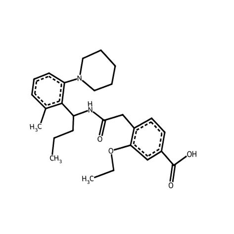 CCCC(NC(=O)Cc1ccc(C(=O)O)cc1OCC)c1c(C)cccc1N1CCCCC1